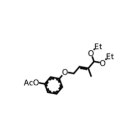 CCOC(OCC)/C(C)=C/COc1cccc(OC(C)=O)c1